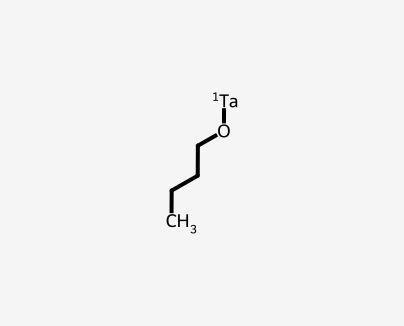 CCCC[O][1Ta]